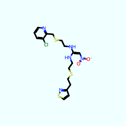 O=[N+]([O-])C=C(NCCSCCc1ccsn1)NCCSCc1ncccc1Cl